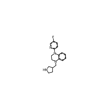 Fc1ccc(N2CCN(CC3CCNC3)c3ccccc32)nc1